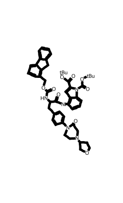 CC(C)(C)OC(=O)c1cc2c(NC(=O)C(Cc3ccc(N4CCN(C5CCOC5)CC4=O)cc3)NC(=O)OCc3cccc4c3Cc3ccccc3-4)cccc2n1C(=O)OC(C)(C)C